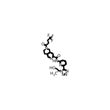 C[C@H](CO)n1nnnc1-c1cccc(NC(=O)c2cc3c(cn2)CCN(C(=O)CCC(F)(F)F)C3)n1